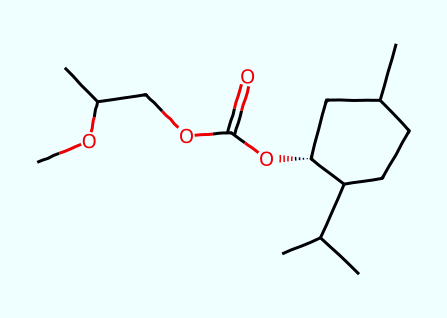 COC(C)COC(=O)O[C@@H]1CC(C)CCC1C(C)C